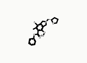 CCCCOc1c2c(c(F)c(C)c1C(=O)Oc1ccccc1)CN(C[C@@H]1CCCO1)C2